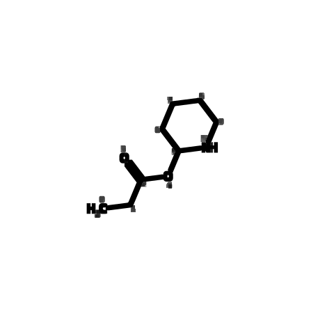 CCC(=O)OC1CCCCN1